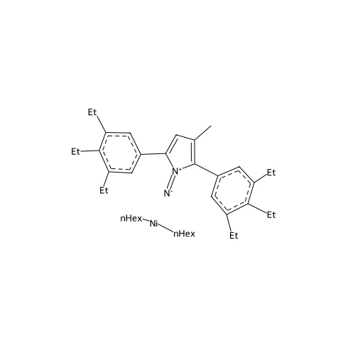 CCCCC[CH2][Ni][CH2]CCCCC.CCc1cc(C2=CC(C)=C(c3cc(CC)c(CC)c(CC)c3)[N+]2=[N-])cc(CC)c1CC